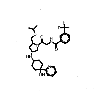 CC(C)OCC1C[C@H](NC2CCC(O)(c3ccccn3)CC2)CN1C(=O)CNC(=O)c1cccc(C(F)(F)F)c1